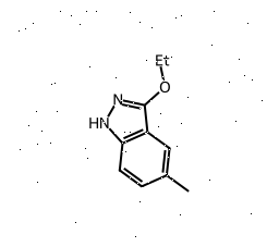 CCOc1n[nH]c2ccc(C)cc12